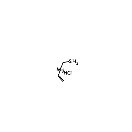 C=[CH][Mg][CH2][SiH3].Cl